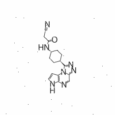 N#CCC(=O)N[C@H]1CC[C@@H](c2nnc3cnc4[nH]ccc4n32)CC1